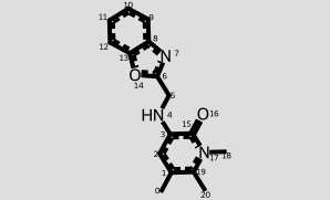 Cc1cc(NCc2nc3ccccc3o2)c(=O)n(C)c1C